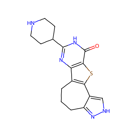 O=c1[nH]c(C2CCNCC2)nc2c3c(sc12)-c1c[nH]nc1CCC3